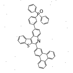 O=P(c1ccccc1)(c1ccccc1)c1cccc(-c2ccc3nc(-c4ccc5c6ccccc6c6ccccc6c5c4)c4sc5ccccc5c4c3c2)c1